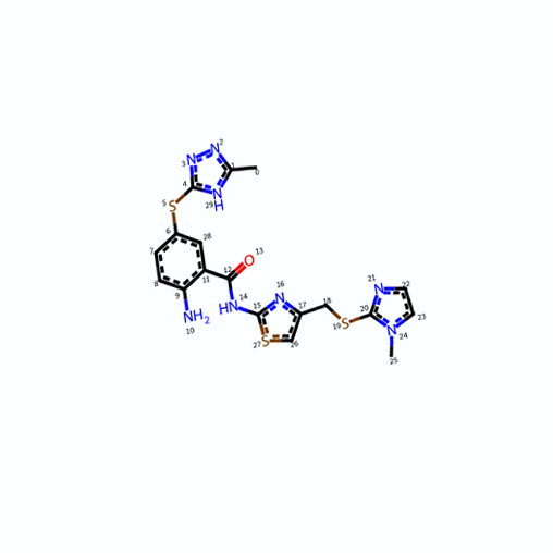 Cc1nnc(Sc2ccc(N)c(C(=O)Nc3nc(CSc4nccn4C)cs3)c2)[nH]1